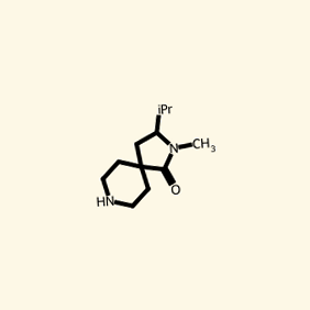 CC(C)C1CC2(CCNCC2)C(=O)N1C